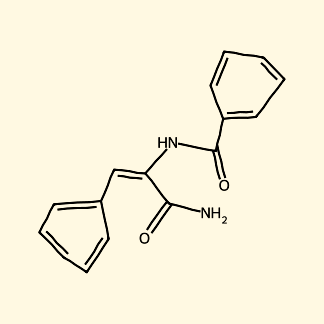 NC(=O)/C(=C\c1ccccc1)NC(=O)c1ccccc1